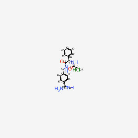 CC(=O)NC(C(=O)NCc1ccc(C(=N)N)cc1)c1ccccc1.Cl